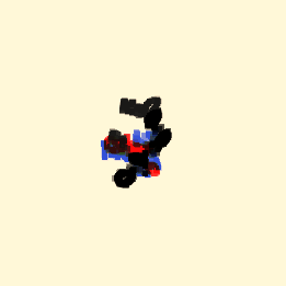 CCS(=O)(=O)Nc1cc(C(=O)N[C@@H](Cc2ccccc2)[C@H](O)CN[C@H](C)c2ccc(OC)cc2)cc(C(=O)N(C)[C@@H](C)c2ccccc2)c1